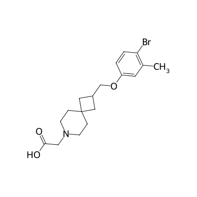 Cc1cc(OCC2CC3(CCN(CC(=O)O)CC3)C2)ccc1Br